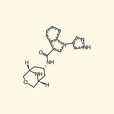 O=C(N[C@H]1C[C@H]2COC[C@@H](C1)N2)c1cn(-c2cn[nH]c2)c2ccccc12